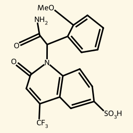 COc1ccccc1C(C(N)=O)n1c(=O)cc(C(F)(F)F)c2cc(S(=O)(=O)O)ccc21